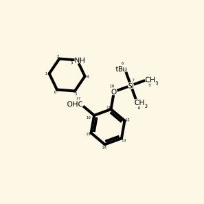 C1CCNCC1.CC(C)(C)[Si](C)(C)Oc1ccccc1C=O